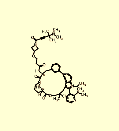 CCn1c(-c2cccnc2C(C)C)c2c3cc(ccc31)-c1cccc(c1)C[C@H](NC(=O)CCOC1CN(C(=O)C#CC(C)(C)N(C)C)C1)C(=O)N1CCC[C@H](N1)C(=O)OCC(C)(C)C2